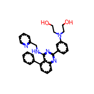 OCCN(CCO)c1cccc(-c2nc(NCc3ccccn3)c3c(-c4ccccc4)cccc3n2)c1